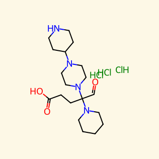 Cl.Cl.Cl.O=CC(CCC(=O)O)(N1CCCCC1)N1CCN(C2CCNCC2)CC1